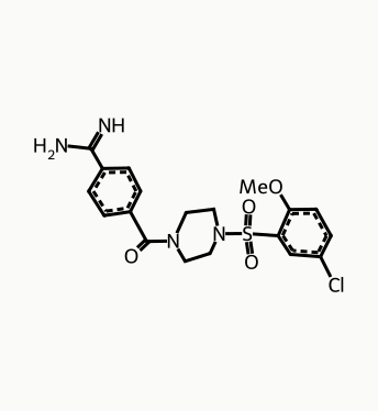 COc1ccc(Cl)cc1S(=O)(=O)N1CCN(C(=O)c2ccc(C(=N)N)cc2)CC1